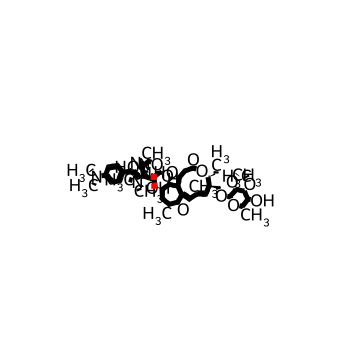 CC[C@H]1OC(=O)C[C@@H](O)[C@@H]2/C(=C\C(C)=C\[C@@H]1COC1OC(C)C(O)C(OC)C1OC)C(=O)[C@H](C)C[C@H](CCn1cc(-c3ccc(N(C)C)cc3)nn1)[C@@H]2O[C@@H]1O[C@H](C)C(O)C(N(C)C)C1O